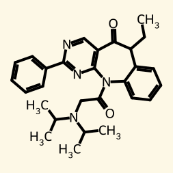 CCC1C(=O)c2cnc(-c3ccccc3)nc2N(C(=O)CN(C(C)C)C(C)C)c2ccccc21